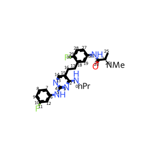 CCCNc1nc(Nc2cccc(F)c2)ncc1CCc1cc(NC(=O)[C@H](C)NC)ccc1F